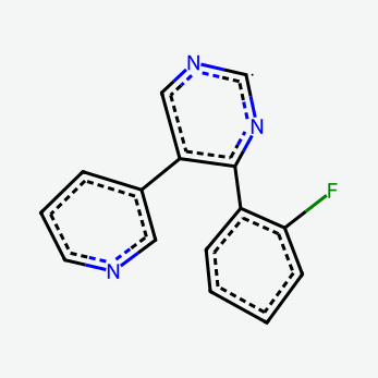 Fc1ccccc1-c1n[c]ncc1-c1cccnc1